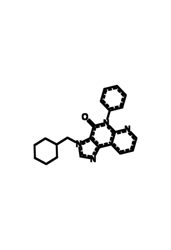 O=c1c2c(ncn2CC2CCCCC2)c2cccnc2n1-c1ccccc1